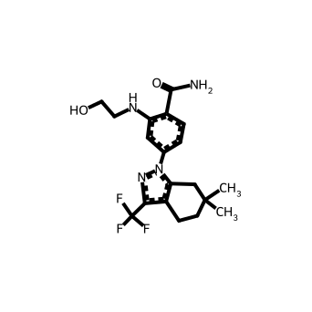 CC1(C)CCc2c(C(F)(F)F)nn(-c3ccc(C(N)=O)c(NCCO)c3)c2C1